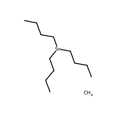 C.CCC[CH2][Sn]([CH2]CCC)[CH2]CCC